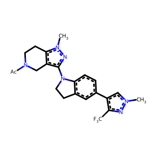 CC(=O)N1CCc2c(c(N3CCc4cc(-c5cn(C)nc5C(F)(F)F)ccc43)nn2C)C1